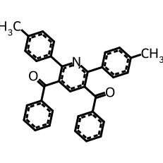 Cc1ccc(-c2nc(-c3ccc(C)cc3)c(C(=O)c3ccccc3)cc2C(=O)c2ccccc2)cc1